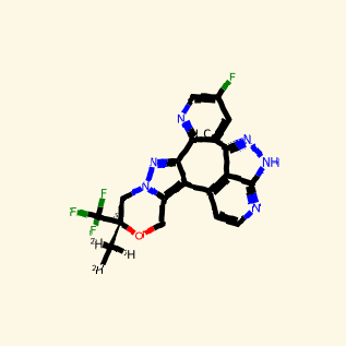 [2H]C([2H])([2H])[C@@]1(C(F)(F)F)Cn2nc(-c3ccc(F)cn3)c(-c3ccnc4[nH]nc(C)c34)c2CO1